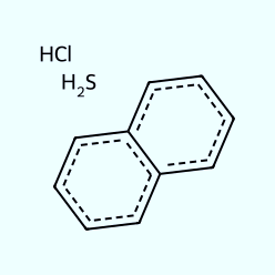 Cl.S.c1ccc2ccccc2c1